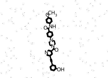 COc1ccc(NC(=O)c2ccc(N3CCN(C(=O)c4cncc(C#Cc5cccc(O)c5)c4)CC3)cc2)cc1